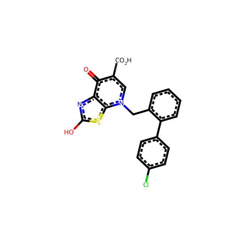 O=C(O)c1cn(Cc2ccccc2-c2ccc(Cl)cc2)c2sc(O)nc2c1=O